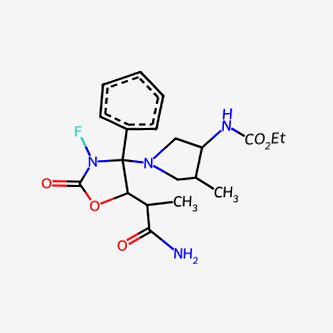 CCOC(=O)NC1CN(C2(c3ccccc3)C(C(C)C(N)=O)OC(=O)N2F)CC1C